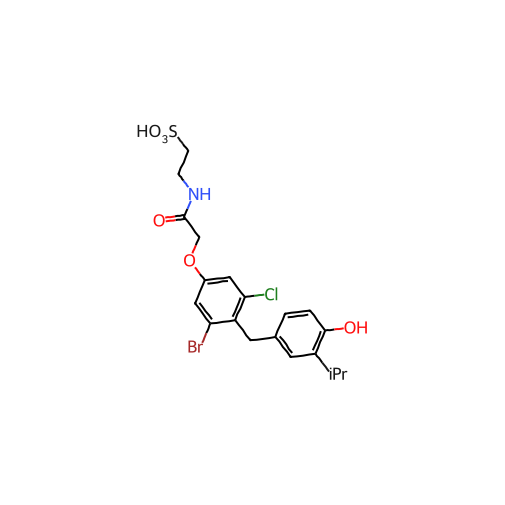 CC(C)c1cc(Cc2c(Cl)cc(OCC(=O)NCCS(=O)(=O)O)cc2Br)ccc1O